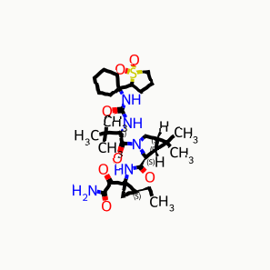 CC[C@H]1CC1(NC(=O)[C@@H]1[C@@H]2[C@H](CN1C(=O)[C@@H](NC(=O)NC1(C3CCCS3(=O)=O)CCCCC1)C(C)(C)C)C2(C)C)C(=O)C(N)=O